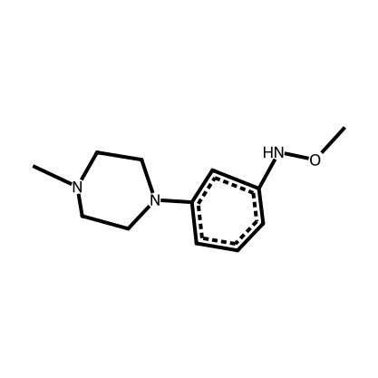 CONc1cccc(N2CCN(C)CC2)c1